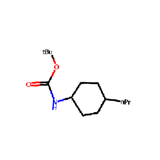 CCCC1CCC(NC(=O)OC(C)(C)C)CC1